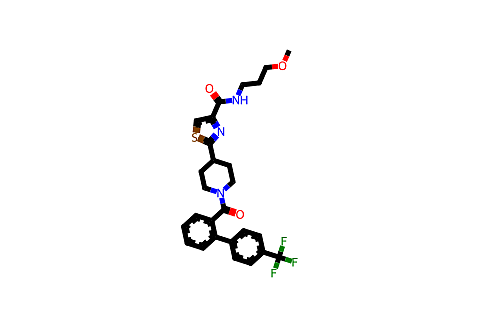 COCCCNC(=O)c1csc(C2CCN(C(=O)c3ccccc3-c3ccc(C(F)(F)F)cc3)CC2)n1